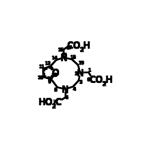 O=C(O)CN1CCN(CC(=O)O)Cc2ccc(o2)CN(CC(=O)O)CC1